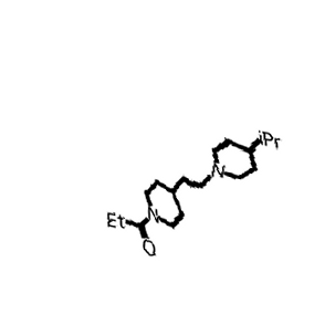 CCC(=O)N1CCC(CCN2CCC(C(C)C)CC2)CC1